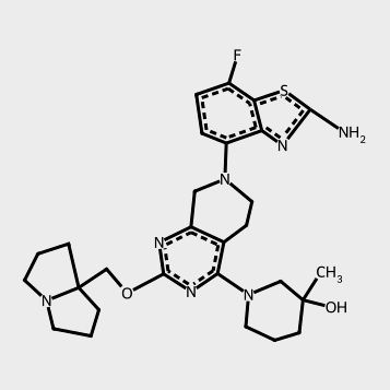 CC1(O)CCCN(c2nc(OCC34CCCN3CCC4)nc3c2CCN(c2ccc(F)c4sc(N)nc24)C3)C1